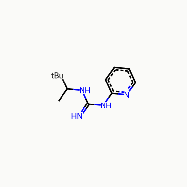 CC(NC(=N)Nc1ccccn1)C(C)(C)C